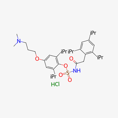 CC(C)c1cc(C(C)C)c(CC(=O)NS(=O)(=O)Oc2c(C(C)C)cc(OCCCN(C)C)cc2C(C)C)c(C(C)C)c1.Cl